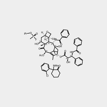 CC(=O)O[C@H]1C(=O)[C@@]2(C)[C@H]([C@H](OC(=O)c3ccccc3)[C@]3(O)C[C@H](OC(=O)[C@H](O)[C@@H](NC(=O)c4ccccc4)c4ccccc4)C(C)=C1C3(C)C)[C@]1(OC(C)=O)CO[C@@H]1C[C@@H]2O.CC(C)OP(C)(=O)F.CNC1(c2ccccc2Cl)CCCCC1=O